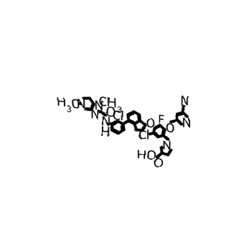 CN1CCc2c(nc(C(=O)Nc3cccc(-c4cccc5c4CCC5Oc4c(Cl)cc(CN5CCC(C(=O)O)C5)c(OCc5cncc(C#N)c5)c4F)c3Cl)n2C)C1